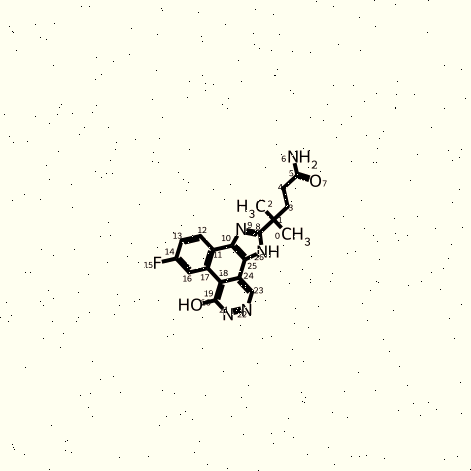 CC(C)(CCC(N)=O)c1nc2c3ccc(F)cc3c3c(O)nncc3c2[nH]1